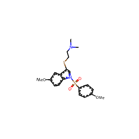 COc1ccc(S(=O)(=O)n2cc(SCCN(C)C)c3cc(OC)ccc32)cc1